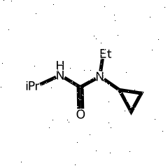 CCN(C(=O)NC(C)C)C1CC1